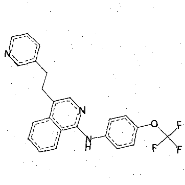 FC(F)(F)Oc1ccc(Nc2ncc(CCc3cccnc3)c3ccccc23)cc1